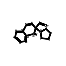 O=CC1(N2CCCC2)C=Cc2ccccc2N1